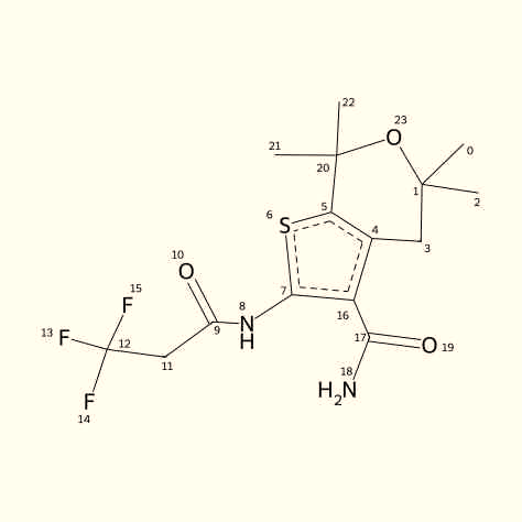 CC1(C)Cc2c(sc(NC(=O)CC(F)(F)F)c2C(N)=O)C(C)(C)O1